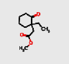 CC[C@@]1(CC(=O)OC)CCCCC1=O